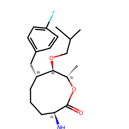 CC(C)CO[C@@H]1[C@@H](Cc2ccc(F)cc2)CCC[C@H](N)C(=O)O[C@H]1C